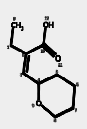 CCC(=CC1CCCCO1)C(=O)O